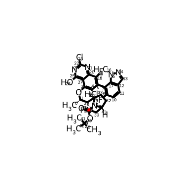 C[C@H](Oc1c(Cl)c(-c2c(F)ccc3cnn(C)c23)c(F)c2nc(Cl)nc(O)c12)[C@H]1NC[C@H]2CC[C@@H]1N2C(=O)OC(C)(C)C